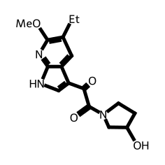 CCc1cc2c(C(=O)C(=O)N3CCC(O)C3)c[nH]c2nc1OC